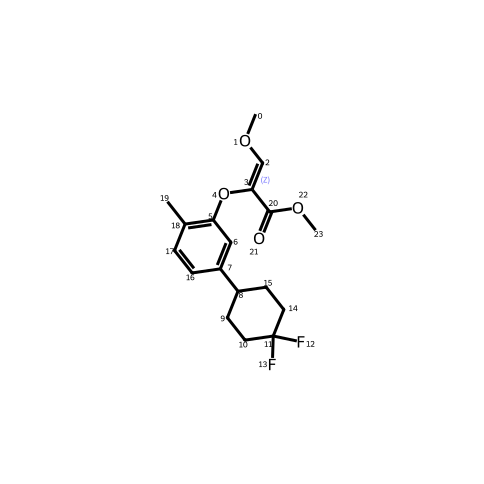 CO/C=C(\Oc1cc(C2CCC(F)(F)CC2)ccc1C)C(=O)OC